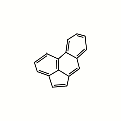 [c]1ccc2c3c(cc4ccccc4c13)C=C2